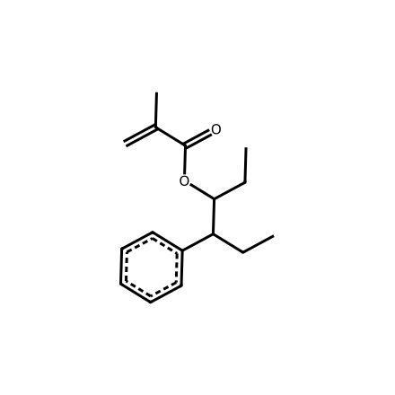 C=C(C)C(=O)OC(CC)C(CC)c1ccccc1